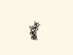 Cc1cccc(C(=O)N[C@H]2CCC[C@]3(CCN(c4cncc(C)n4)C3=O)C2)n1